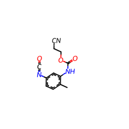 Cc1ccc(N=C=O)cc1NC(=O)OCCC#N